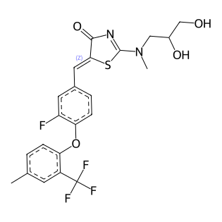 Cc1ccc(Oc2ccc(/C=C3\SC(N(C)CC(O)CO)=NC3=O)cc2F)c(C(F)(F)F)c1